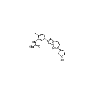 Cc1ccc(-c2cn3nc(N4CC[C@H](O)C4)ccc3n2)cc1NC(=O)C(C)(C)C